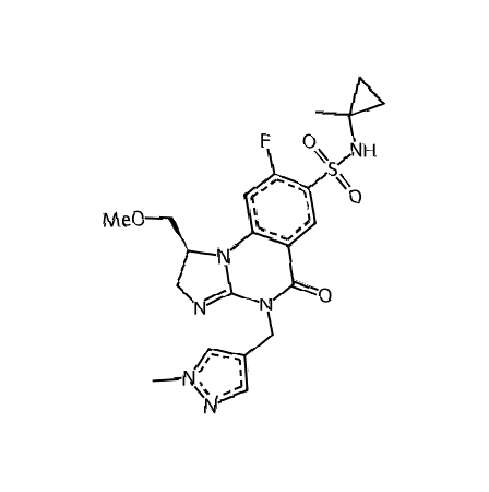 COC[C@@H]1CN=C2N(Cc3cnn(C)c3)C(=O)c3cc(S(=O)(=O)NC4(C)CC4)c(F)cc3N21